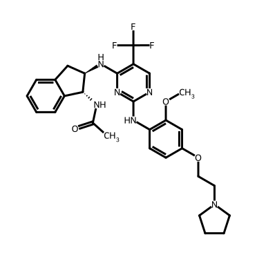 COc1cc(OCCN2CCCC2)ccc1Nc1ncc(C(F)(F)F)c(N[C@@H]2Cc3ccccc3[C@H]2NC(C)=O)n1